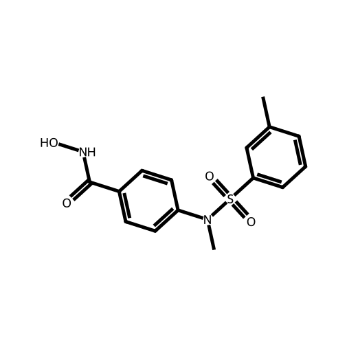 Cc1cccc(S(=O)(=O)N(C)c2ccc(C(=O)NO)cc2)c1